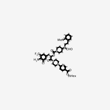 CCCCCCOC(=O)c1ccc(N2CCN(C(=O)[C@@H](Cc3cc(Cl)c(N)c(C(F)(F)F)c3)OC(=O)N3CCC(N(C=O)CCc4ccccc4NC)CC3)CC2)nc1